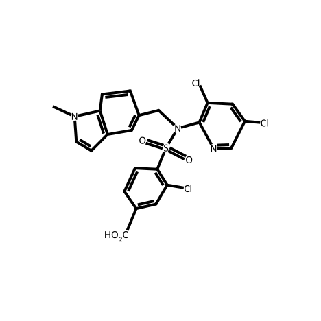 Cn1ccc2cc(CN(c3ncc(Cl)cc3Cl)S(=O)(=O)c3ccc(C(=O)O)cc3Cl)ccc21